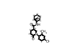 Cc1cc(Cl)ccc1-n1cc(C(=O)NC2CN3CCC2CC3)ccc1=O